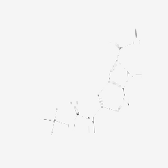 COC(=O)c1cc2cc(NC(=O)OC(C)(C)C)cnc2[nH]1